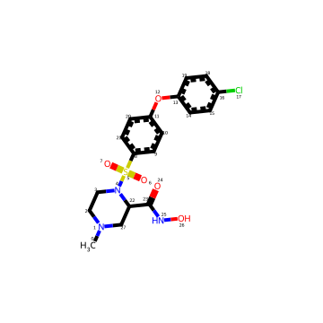 CN1CCN(S(=O)(=O)c2ccc(Oc3ccc(Cl)cc3)cc2)C(C(=O)NO)C1